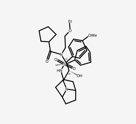 CCOCCN(C(=O)C1CCCC1)[C@@](C)(c1ccccc1)[C@H](O)CN1C2CCC1CC(NS(=O)(=O)c1ccc(OC)cc1)C2